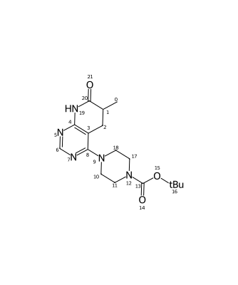 CC1Cc2c(ncnc2N2CCN(C(=O)OC(C)(C)C)CC2)NC1=O